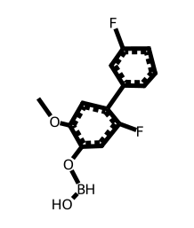 COc1cc(-c2cccc(F)c2)c(F)cc1OBO